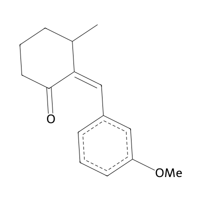 COc1cccc(/C=C2\C(=O)CCCC2C)c1